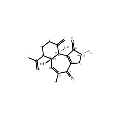 C=C(C)C1CCC(=C)[C@H]2C3=C(C[C@@H](C)C3=O)C(=O)C(C)=C[C@H]12